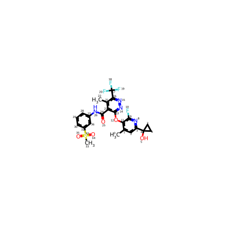 Cc1cc(C2(O)CC2)nc(F)c1Oc1nnc(C(F)(F)F)c(C)c1C(=O)Nc1cccc(S(C)(=O)=O)c1